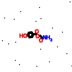 NC(=O)COC(=O)c1ccc(O)cc1